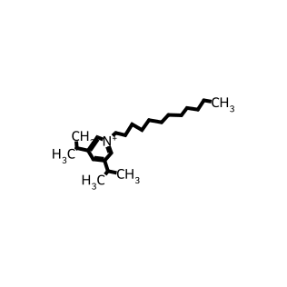 CCCCCCCCCCCC[n+]1cc(C(C)C)cc(C(C)C)c1